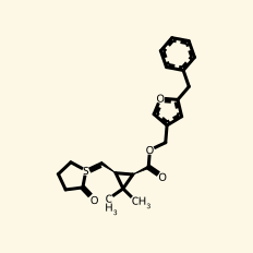 CC1(C)[C@H](C(=O)OCc2coc(Cc3ccccc3)c2)[C@@H]1/C=S1/CCCC1=O